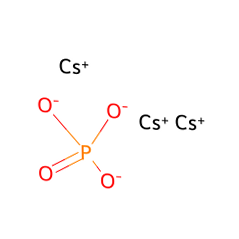 O=P([O-])([O-])[O-].[Cs+].[Cs+].[Cs+]